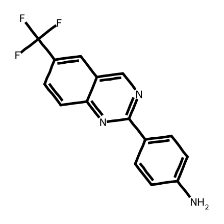 Nc1ccc(-c2ncc3cc(C(F)(F)F)ccc3n2)cc1